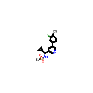 CCS(=O)(=O)N[C@H](c1cncc(-c2ccc(C#N)c(F)c2)c1)C1CC1